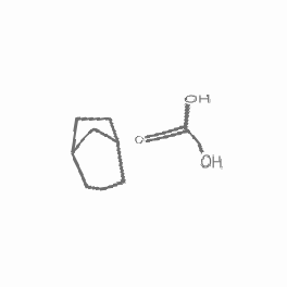 C1CC2CCC1C2.O=C(O)O